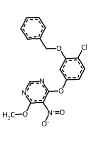 COc1ncnc(Oc2ccc(Cl)c(OCc3ccccc3)c2)c1[N+](=O)[O-]